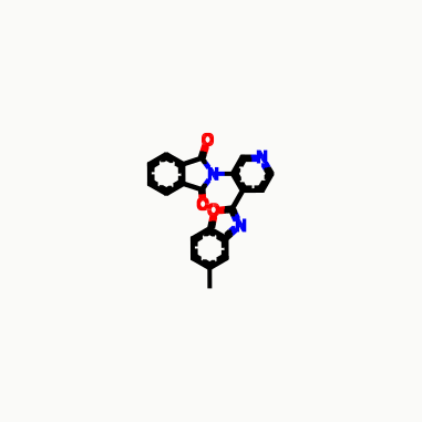 Cc1ccc2oc(-c3ccncc3N3C(=O)c4ccccc4C3=O)nc2c1